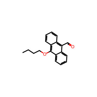 CCCCOc1c2ccccc2c(C=O)c2ccccc12